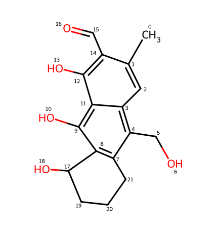 Cc1cc2c(CO)c3c(c(O)c2c(O)c1C=O)C(O)CCC3